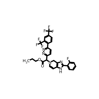 CCCOC(=O)C(c1ccc(-c2ccc(C(F)(F)F)cc2C(F)(F)F)nn1)N1C=Cc2[nH]c(-c3ccccc3F)nc2C1